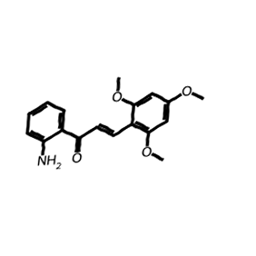 COc1cc(OC)c(C=CC(=O)c2ccccc2N)c(OC)c1